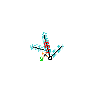 FC(F)(F)C(F)(F)C(F)(F)C(F)(F)C(F)(F)C(F)(F)C(F)(F)C(F)(F)c1cccc([PH][Pd][PH]c2cccc(C(F)(F)C(F)(F)C(F)(F)C(F)(F)C(F)(F)C(F)(F)C(F)(F)C(F)(F)F)c2C(F)(F)C(F)(F)C(F)(F)C(F)(F)C(F)(F)C(F)(F)C(F)(F)C(F)(F)F)c1C(F)(F)C(F)(F)C(F)(F)C(F)(F)C(F)(F)C(F)(F)C(F)(F)C(F)(F)F.[Cl-].[Cl-]